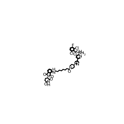 CC(Oc1cc(-c2cnn(C3CCN(C(=O)CCCCCCCNc4cccc5c4C(=O)N(C4CCC(=O)NC4=O)C5=O)CC3)c2)cnc1N)c1c(Cl)ccc(F)c1Cl